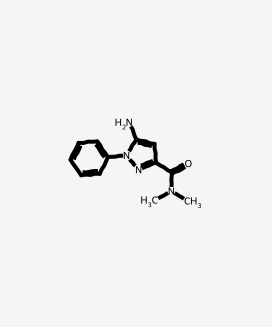 CN(C)C(=O)c1cc(N)n(-c2ccccc2)n1